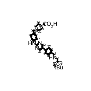 CC(C)(C)OC(=O)CNCc1ccc(-c2cnc(Nc3ccc(CN4CCN(C(=O)O)CC4)cc3)nc2)cc1